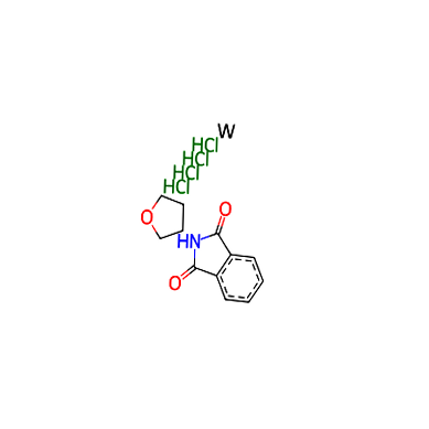 C1CCOC1.Cl.Cl.Cl.Cl.O=C1NC(=O)c2ccccc21.[W]